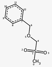 CS(=O)(=O)COCc1ccccc1